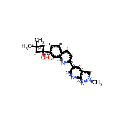 Cn1cc2cc(-c3ccc4ccc(C5(O)CC(C)(C)C5)cc4n3)cnc2n1